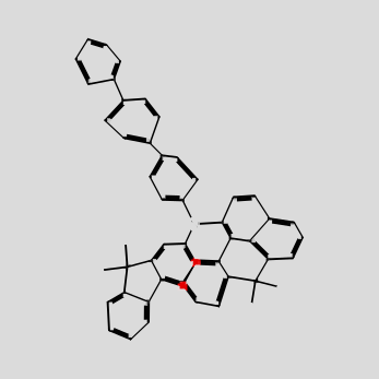 CC1(C)c2ccccc2-c2ccc(N(c3ccc(-c4ccc(-c5ccccc5)cc4)cc3)c3ccc4cccc5c4c3-c3ccccc3C5(C)C)cc21